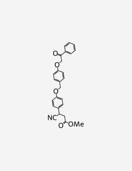 COC(=O)CC(C#N)c1ccc(OCc2ccc(OCC(=O)c3ccccc3)cc2)cc1